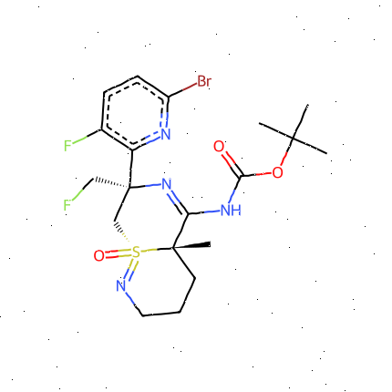 CC(C)(C)OC(=O)NC1=N[C@](CF)(c2nc(Br)ccc2F)C[S@@]2(=O)=NCCC[C@@]12C